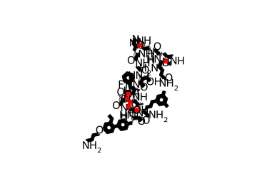 CCc1cc(OCCCCN)ccc1-c1ccc(C[C@H](NC(=O)[C@H](CC(=O)O)NC(=O)[C@H](CO)NC(=O)[C@@H](NC(=O)[C@](C)(Cc2ccccc2F)NC(=O)[C@@H](NC(=O)CNC(=O)[C@H](Cc2nn[nH]n2)NC(=O)[C@H](C)NC(=O)[C@H](Cc2c[nH]cn2)NC(=O)[C@@H](N)CCC(N)=O)[C@@H](C)O)[C@@H](C)O)C(=O)N[C@@H](CCCc2cc(C)cc(C)c2)C(N)=O)cc1